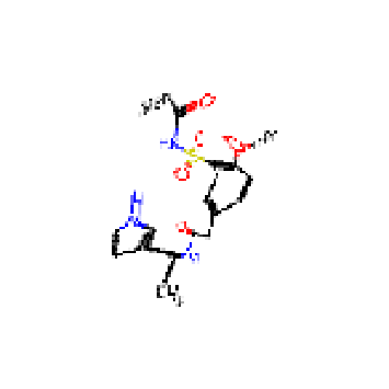 CCCOc1ccc(CC(=O)NC(C)c2cc[nH]c2)cc1S(=O)(=O)NC(=O)NC